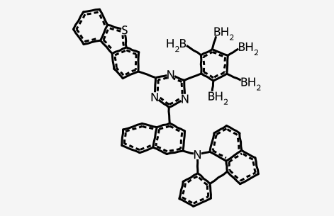 Bc1c(B)c(B)c(-c2nc(-c3ccc4c(c3)sc3ccccc34)nc(-c3cc(N4c5ccccc5-c5cccc6cccc4c56)cc4ccccc34)n2)c(B)c1B